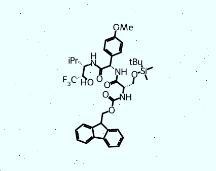 COc1ccc([C@H](NC(=O)[C@H](CO[Si](C)(C)C(C)(C)C)NC(=O)OCC2c3ccccc3-c3ccccc32)C(=O)N[C@@H](C(C)C)[C@H](O)C(F)(F)F)cc1